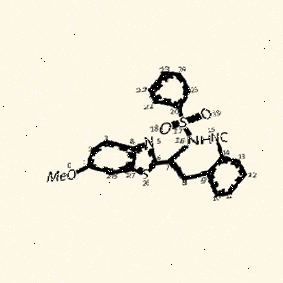 COc1ccc2nc(C(Cc3ccccc3C#N)NS(=O)(=O)c3ccccc3)sc2c1